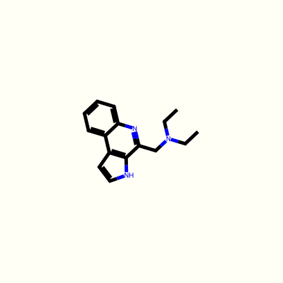 CCN(CC)Cc1nc2ccccc2c2cc[nH]c12